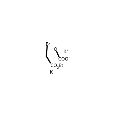 CCOC(=O)CBr.O=C([O-])[O-].[K+].[K+]